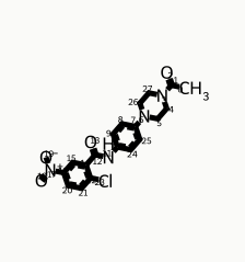 CC(=O)N1CCN(c2ccc(NC(=O)c3cc([N+](=O)[O-])ccc3Cl)cc2)CC1